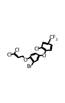 FC(F)(F)c1ccc(Oc2ccc(OCC=C(Cl)Cl)c(Br)c2)c(Cl)c1